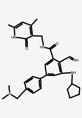 Cc1cc(C)c(CNC(=O)c2cc(-c3ccc(CN(C)C)cc3)cc(NC3CCCC3)c2C=N)c(=O)[nH]1